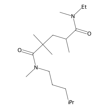 CCN(C)C(=O)C(C)CC(C)(C)C(=O)N(C)CCCC(C)C